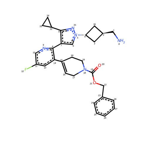 NC[C@H]1C[C@H](n2cc(-c3ncc(F)cc3C3=CCN(C(=O)OCc4ccccc4)CC3)c(C3CC3)n2)C1